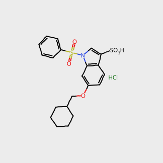 Cl.O=S(=O)(O)c1cn(S(=O)(=O)c2ccccc2)c2cc(OCC3CCCCC3)ccc12